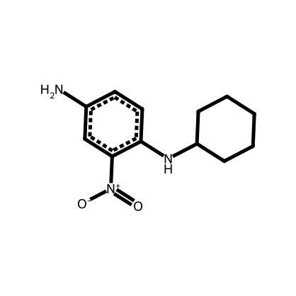 Nc1ccc(NC2CCCCC2)c([N+](=O)[O-])c1